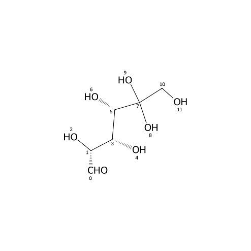 O=C[C@H](O)[C@@H](O)[C@H](O)C(O)(O)CO